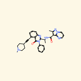 Cc1nn2cccnc2c1C(=O)NC(C)c1nc2cccc(C#CC3CCN(C)CC3)c2c(=O)n1-c1ccccc1